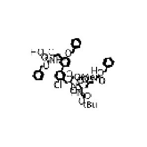 COC(=O)[C@H](Cc1cc(-c2ccc(OCc3ccccc3)c(C[C@H](NC(=O)OCc3ccccc3)C(=O)O)c2)ccc1Cl)N(C)C(=O)[C@H](C[C@@H](O)CNC(=O)OCc1ccccc1)NC(=O)OC(C)(C)C